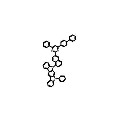 c1ccc(-c2ccc(-c3cc(-c4ccccc4)nc(-c4ccc5c(-n6c7ccccc7c7cc8c9ccccc9n(-c9ccccc9)c8cc76)cccc5c4)n3)cc2)cc1